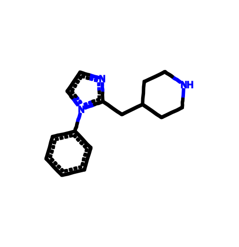 c1ccc(-n2ccnc2CC2CCNCC2)cc1